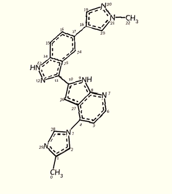 Cc1cn(-c2ccnc3[nH]c(-c4n[nH]c5ccc(-c6cnn(C)c6)cc45)cc23)cn1